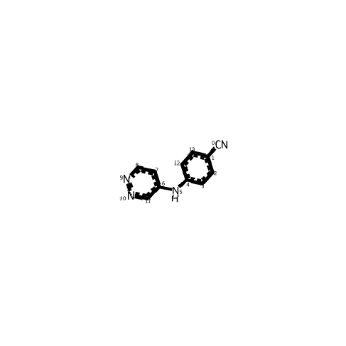 N#Cc1ccc(Nc2ccnnc2)cc1